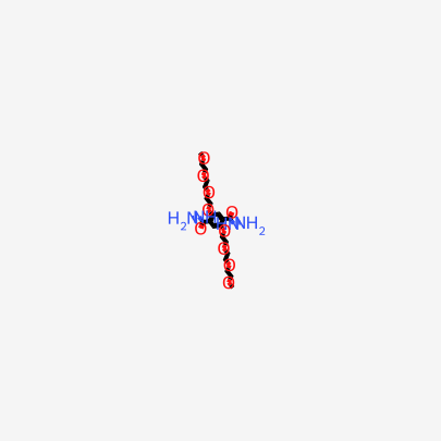 COCCOCCOCCOc1cc(C(=O)NN)c(OCCOCCOCCOC)cc1C(=O)NN